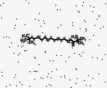 CC(C)(C)CCOCCOCCOCCOCC(=O)C(C)(C)C